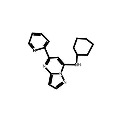 c1ccc(-c2cc(NC3CCCCC3)n3nccc3n2)nc1